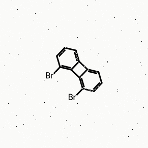 Brc1cccc2c1-c1c(Br)cccc1-2